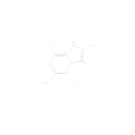 COc1cc(C)c2[nH]c(C)nc2c1C=O